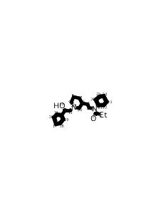 CCC(=O)N(CCC1CCCN(CC(O)c2ccccc2)C1)c1ccccc1